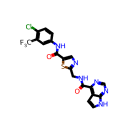 O=C(Nc1ccc(Cl)c(C(F)(F)F)c1)c1cnc(CNC(=O)c2ncnc3[nH]ccc23)s1